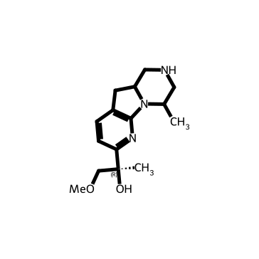 COC[C@](C)(O)c1ccc2c(n1)N1C(C)CNCC1C2